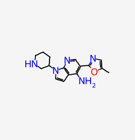 Cc1cnc(-c2cnc3c(ccn3C3CCCNC3)c2N)o1